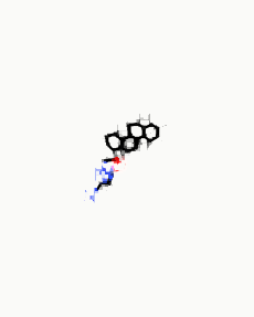 C[C@H]1CC[C@@]2(C)[C@@H](CC[C@@H]3[C@@H]2CC[C@]2(C)[C@@H](C(=O)Cn4ccc(C#N)n4)CCC[C@@H]32)C1